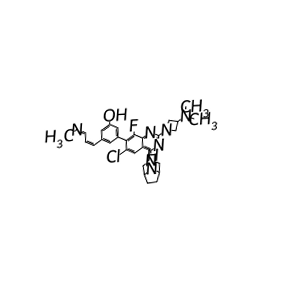 C/N=C\C=C/c1cc(O)cc(-c2c(Cl)cc3c(N4CC5CCC(C4)N5)nc(N4CC(N(C)C)C4)nc3c2F)c1